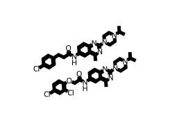 Cc1nc(N2CCN(C(C)C)CC2)nc2ccc(NC(=O)CCc3ccc(Cl)cc3)cc12.Cc1nc(N2CCN(C(C)C)CC2)nc2ccc(NC(=O)COc3ccc(Cl)cc3Cl)cc12